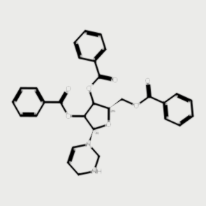 O=C(OC[C@H]1O[C@@H](N2C=CCNC2)C(OC(=O)c2ccccc2)C1OC(=O)c1ccccc1)c1ccccc1